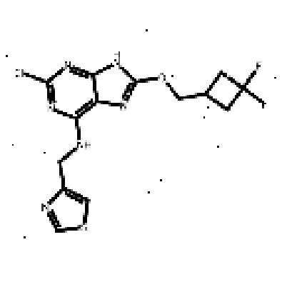 FC1(F)CC(COc2nc3c(NCc4cscn4)nc(Cl)nc3[nH]2)C1